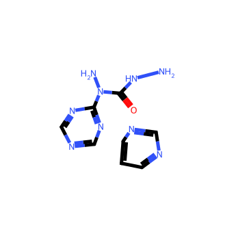 NNC(=O)N(N)c1ncncn1.c1cncnc1